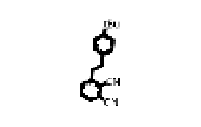 CC(C)(C)c1ccc(CCc2cccc(C#N)c2C#N)cc1